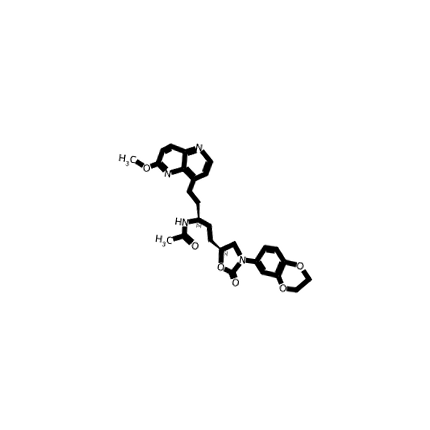 COc1ccc2nccc(CC[C@@H](CC[C@H]3CN(c4ccc5c(c4)OCCO5)C(=O)O3)NC(C)=O)c2n1